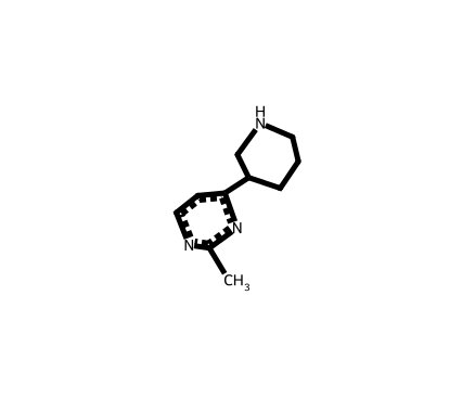 Cc1nccc(C2CCCNC2)n1